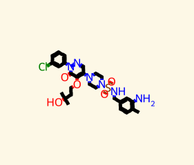 Cc1ccc(CNS(=O)(=O)N2CCN(c3cnn(-c4cccc(Cl)c4)c(=O)c3OCCC(C)(C)O)CC2)cc1N